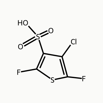 O=S(=O)(O)c1c(F)sc(F)c1Cl